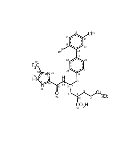 CCOCC[C@H](C[C@@H](Cc1ccc(-c2cc(Cl)ccc2F)cc1)NC(=O)c1n[nH]c(C(F)(F)F)n1)C(=O)O